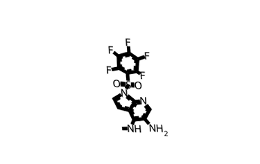 CNc1c(N)cnc2c1ccn2S(=O)(=O)c1c(F)c(F)c(F)c(F)c1F